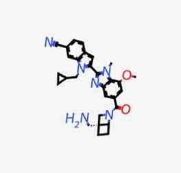 COc1cc(C(=O)N2C[C@]3(CN)CCC23)cc2nc(-c3cc4ccc(C#N)cc4n3CC3CC3)n(C)c12